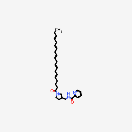 CCC=CCC=CCC=CCC=CCC=CCCCC(=O)N1CCC(CNC(=O)c2ccccn2)C1